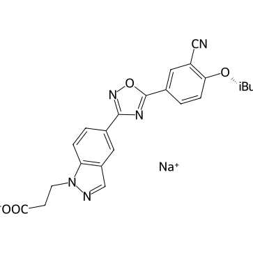 CC[C@@H](C)Oc1ccc(-c2nc(-c3ccc4c(cnn4CCC(=O)[O-])c3)no2)cc1C#N.[Na+]